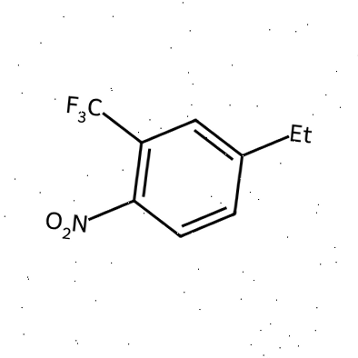 CCc1ccc([N+](=O)[O-])c(C(F)(F)F)c1